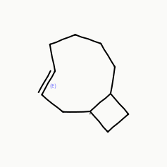 C1=C/C[C]2CCC2CCCC/1